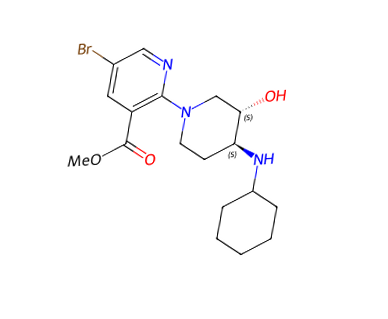 COC(=O)c1cc(Br)cnc1N1CC[C@H](NC2CCCCC2)[C@@H](O)C1